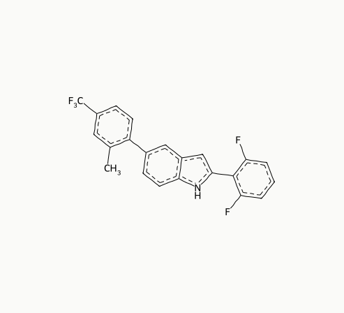 Cc1cc(C(F)(F)F)ccc1-c1ccc2[nH]c(-c3c(F)cccc3F)cc2c1